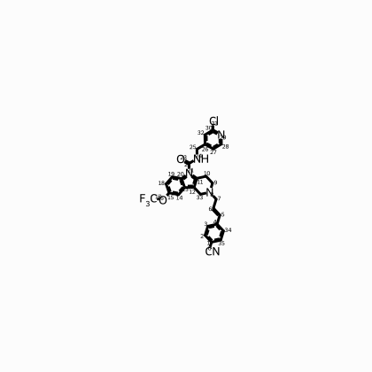 N#Cc1ccc(/C=C/CN2CCc3c(c4cc(OC(F)(F)F)ccc4n3C(=O)NCc3ccnc(Cl)c3)C2)cc1